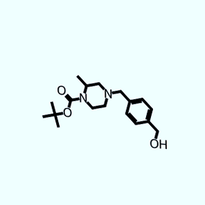 CC1CN(Cc2ccc(CO)cc2)CCN1C(=O)OC(C)(C)C